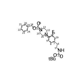 CC(C)(C)OC(=O)NCCc1ccc(N2CCN(C(=O)OCc3ccccc3)CC2)c(F)c1